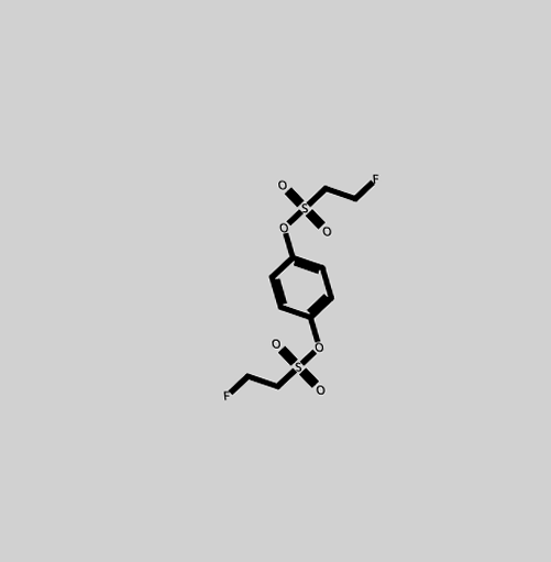 O=S(=O)(CCF)Oc1ccc(OS(=O)(=O)CCF)cc1